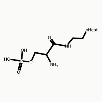 CCCCCCCCCNC(=O)C(N)COP(=O)(O)O